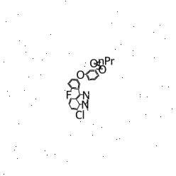 CCCS(=O)(=O)c1cccc(Oc2ccc(F)c(C3=C4C=CC=C(Cl)C4N(C)C=N3)c2)c1